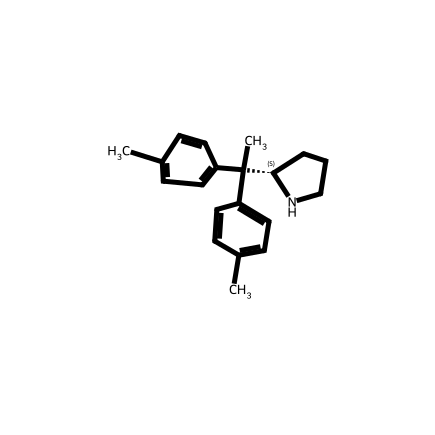 Cc1ccc(C(C)(c2ccc(C)cc2)[C@@H]2CCCN2)cc1